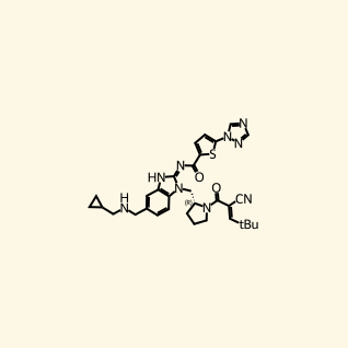 CC(C)(C)C=C(C#N)C(=O)N1CCC[C@@H]1Cn1c(=NC(=O)c2ccc(-n3cncn3)s2)[nH]c2cc(CNCC3CC3)ccc21